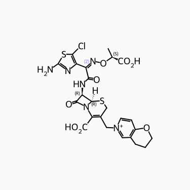 C[C@H](O/N=C(\C(=O)N[C@@H]1C(=O)N2C(C(=O)O)=C(C[n+]3ccc4c(c3)CCCO4)CS[C@H]12)c1nc(N)sc1Cl)C(=O)O